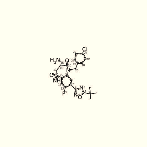 CC(C)(C)c1nc(-c2cc3c(cc2F)S(=N)(=O)C[C@H](N)C(=O)N3Cc2ccc(Cl)cc2)no1